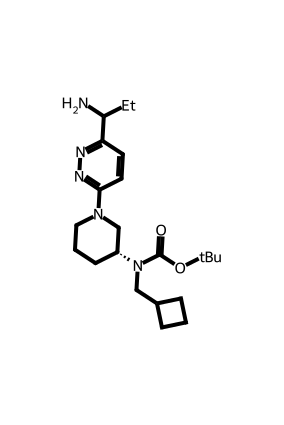 CCC(N)c1ccc(N2CCC[C@@H](N(CC3CCC3)C(=O)OC(C)(C)C)C2)nn1